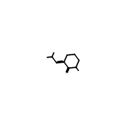 CC(C)C=C1CCCC(C)C1=O